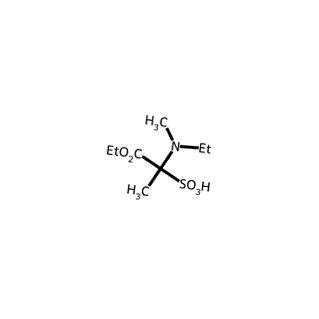 CCOC(=O)C(C)(N(C)CC)S(=O)(=O)O